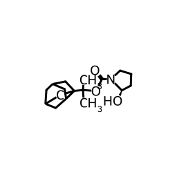 CC(C)(OC(=O)N1CCC[C@H]1O)C12CC3CC(CC1C3)C2